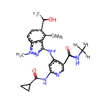 [2H]C([2H])([2H])NC(=O)c1cnc(NC(=O)C2CC2)cc1Nc1nn(C)c2ccc(C(O)C(F)(F)F)c(OC)c12